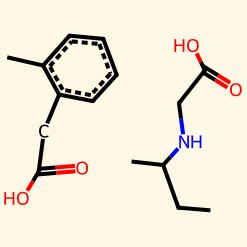 CCC(C)NCC(=O)O.Cc1ccccc1CC(=O)O